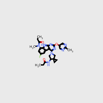 CCC(=O)NC1CN(c2nc(Oc3cnc(C)nc3)nc3[nH]c4c(N(C)C(=O)CC)cc(F)cc4c23)CC12CC2